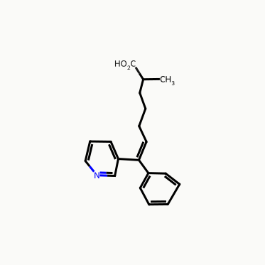 CC(CCCC=C(c1ccccc1)c1cccnc1)C(=O)O